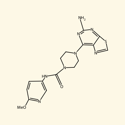 COc1ccc(NC(=O)N2CCN(c3nc(N)nc4scnc34)CC2)cn1